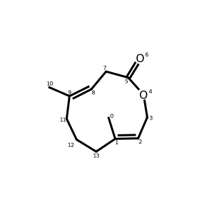 C/C1=C\COC(=O)C/C=C(\C)CCC1